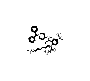 CCCCCCCN(C(N)=O)c1ccc([N+](=O)[O-])cc1C(=O)NC1CCN(C(c2ccccc2)c2ccccc2)CC1